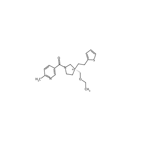 CCOC[C@]1(CCc2cccs2)CCN(C(=O)c2ccc(C)nc2)C1